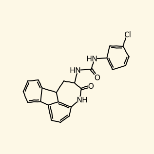 O=C(Nc1cccc(Cl)c1)NC1CC2c3ccccc3-c3cccc(c32)NC1=O